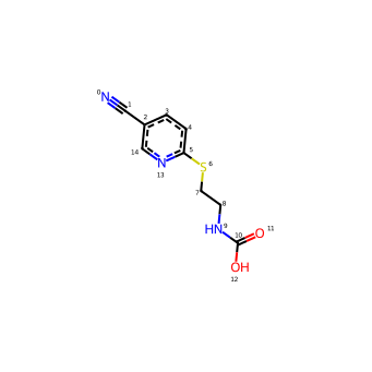 N#Cc1ccc(SCCNC(=O)O)nc1